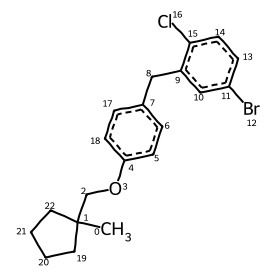 CC1(COc2ccc(Cc3cc(Br)ccc3Cl)cc2)CCCC1